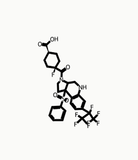 O=C(O)[C@H]1CC[C@](F)(C(=O)N2CCC3(S(=O)(=O)c4ccccc4)c4ccc(C(F)(C(F)(F)F)C(F)(F)F)cc4NCC23)CC1